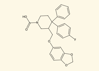 O=C(O)N1CCC(c2ccccc2)(c2ccc(F)cc2)C(COc2ccc3c(c2)OCO3)C1